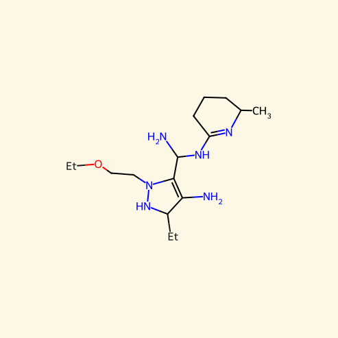 CCOCCN1NC(CC)C(N)=C1C(N)NC1=NC(C)CCC1